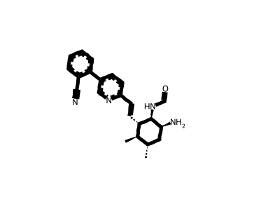 C[C@H]1[C@H](/C=C/c2ccc(-c3ccccc3C#N)cn2)[C@@H](NC=O)[C@@H](N)C[C@@H]1C